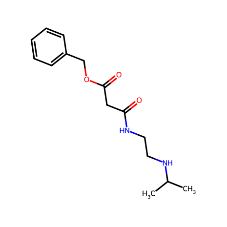 CC(C)NCCNC(=O)CC(=O)OCc1ccccc1